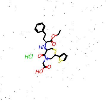 CCOC(=O)[C@H](CCc1ccccc1)NC1CSC(c2cccs2)CN(CC(=O)O)C1=O.Cl